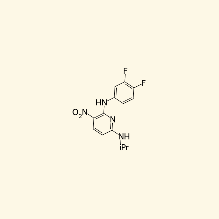 CC(C)Nc1ccc([N+](=O)[O-])c(Nc2ccc(F)c(F)c2)n1